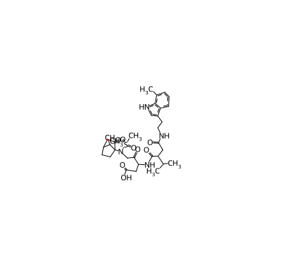 Cc1cccc2c(CCNC(=O)CC(C(=O)NC(CC(=O)O)C(=O)CN(C34CCC(CC3=O)C4(C)C)S(C)(=O)=O)C(C)C)c[nH]c12